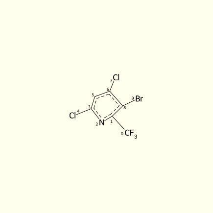 FC(F)(F)c1nc(Cl)cc(Cl)c1Br